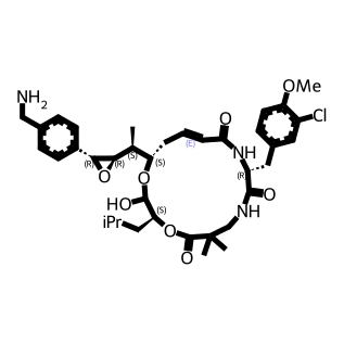 COc1ccc(C[C@H]2NC(=O)/C=C/C[C@@H]([C@H](C)[C@H]3O[C@@H]3c3ccc(CN)cc3)OC(O)[C@H](CC(C)C)OC(=O)C(C)(C)CNC2=O)cc1Cl